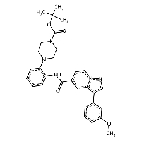 COc1cccc(-c2cnn3ccc(C(=O)Nc4ccccc4N4CCN(C(=O)OC(C)(C)C)CC4)nc23)c1